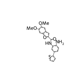 COc1cc2cc(C(=O)Nc3cc(-c4cccs4)ccc3N)oc2cc1OC